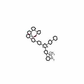 CC1(C)c2ccccc2-c2ccc(-c3nc(-c4ccc(-c5ccccc5)cc4)cc(-c4ccc(-c5ccc6c(c5)C5(c7ccccc7-c7ccccc7-c7ccccc7-c7ccccc75)c5ccccc5-6)cc4)n3)cc21